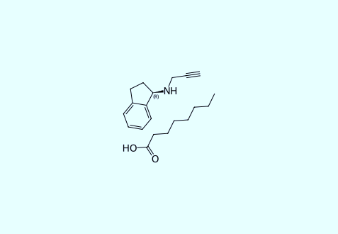 C#CCN[C@@H]1CCc2ccccc21.CCCCCCCC(=O)O